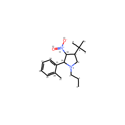 CCCN1CC(C(C)(C)C)C([N+](=O)[O-])C1c1ccccc1C